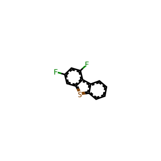 Fc1cc(F)c2c(c1)sc1ccccc12